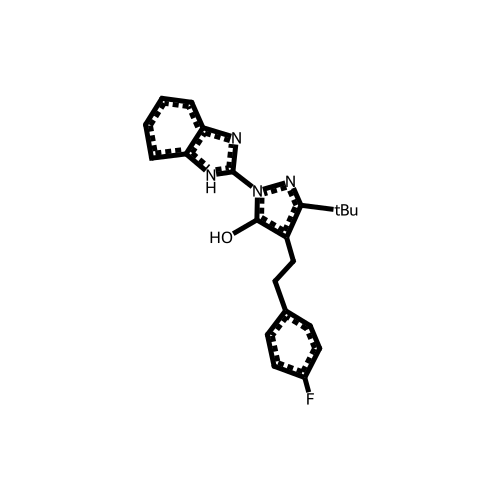 CC(C)(C)c1nn(-c2nc3ccccc3[nH]2)c(O)c1CCc1ccc(F)cc1